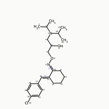 CC(C)N(CC(O)CO/N=C1\CCCC\C1=C/c1ccc(Cl)cc1)C(C)C